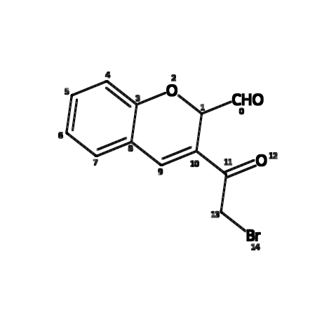 O=CC1Oc2ccccc2C=C1C(=O)CBr